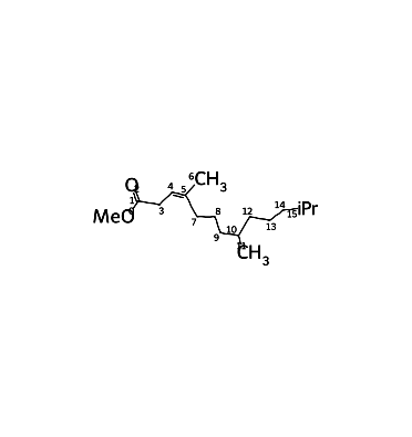 COC(=O)CC=C(C)CCCC(C)CCCC(C)C